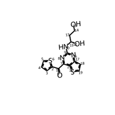 O=C(c1cccs1)c1nc(NC(O)CCO)nc2ccsc12